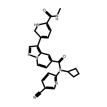 CNC(=O)C1=CC=C(c2cnn3ccc(C(=O)N(c4ccc(C#N)cn4)C4CCC4)cc23)CN1